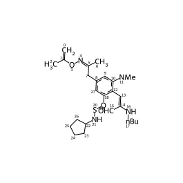 C=C(C)O/N=C(/C)Cc1cc(NC)c(/C=C(\C=O)NCCCC)c(OSNC2CCCC2)c1